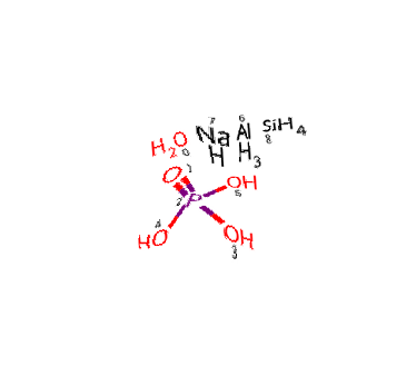 O.O=P(O)(O)O.[AlH3].[NaH].[SiH4]